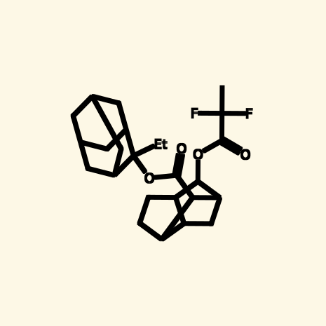 CCC1(OC(=O)C2C3CCC4C3CC2C4OC(=O)C(C)(F)F)C2CC3CC(C2)CC1C3